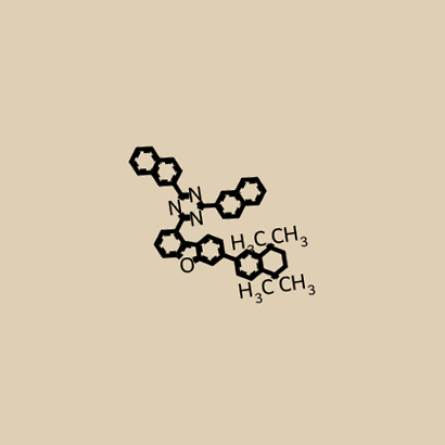 CC1(C)CCC(C)(C)c2cc(-c3ccc4c(c3)oc3cccc(-c5nc(-c6ccc7ccccc7c6)nc(-c6ccc7ccccc7c6)n5)c34)ccc21